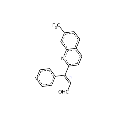 O=C/C=C(\c1ccncc1)c1ccc2ccc(C(F)(F)F)cc2n1